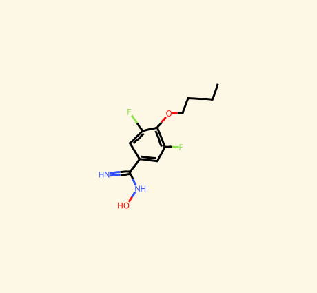 CCCCOc1c(F)cc(C(=N)NO)cc1F